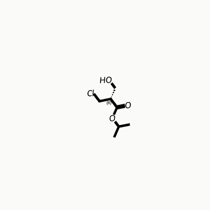 CC(C)OC(=O)[C@@H](CO)CCl